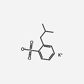 CC(C)Cc1ccccc1S(=O)(=O)[O-].[K+]